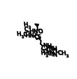 CCC(CCc1cc(NCC(C)C)c(NC(=O)C2CC2)s1)NC(=S)Nc1cc(C)nn1C